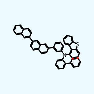 c1ccc(-c2ccccc2N(c2cccc(-c3ccc4ccc(-c5ccc6ccccc6c5)cc4c3)c2)c2cccc3sc4ccccc4c23)cc1